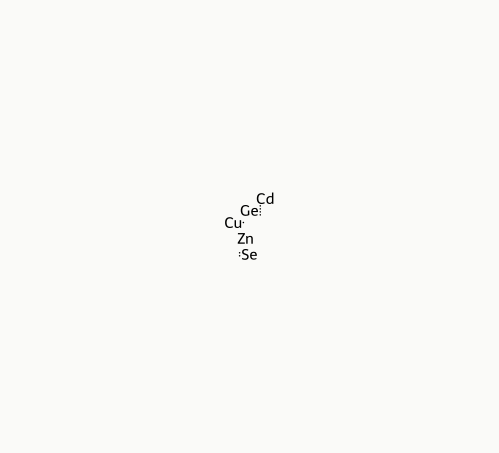 [Cd].[Cu].[Ge].[Se].[Zn]